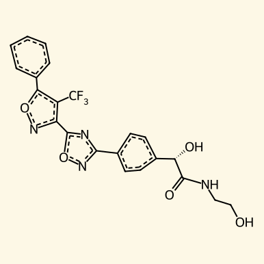 O=C(NCCO)[C@@H](O)c1ccc(-c2noc(-c3noc(-c4ccccc4)c3C(F)(F)F)n2)cc1